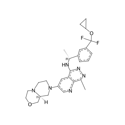 Cc1nnc(N[C@H](C)c2cccc(C(F)(F)OC3CC3)c2)c2cc(N3CCN4CCOC[C@@H]4C3)cnc12